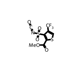 COC(=O)c1scc(C(F)(F)F)c1S(=O)(=O)N=C=O